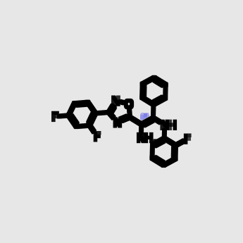 N/C(=C(\Nc1ccccc1F)c1ccccc1)c1nc(-c2ccc(F)cc2F)no1